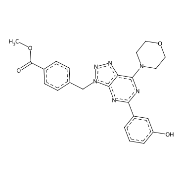 COC(=O)c1ccc(Cn2nnc3c(N4CCOCC4)nc(-c4cccc(O)c4)nc32)cc1